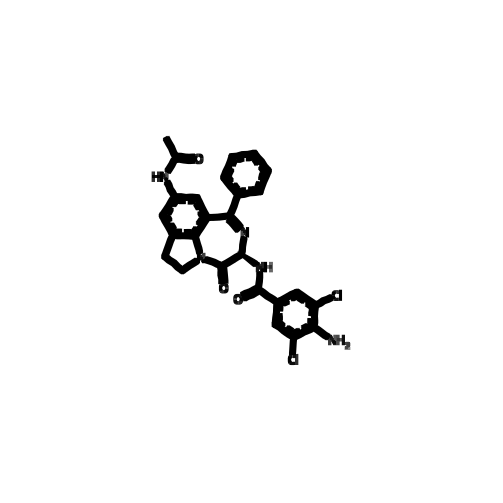 CC(=O)Nc1cc2c3c(c1)C(c1ccccc1)=N[C@@H](NC(=O)c1cc(Cl)c(N)c(Cl)c1)C(=O)N3CC2